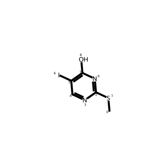 CSc1ncc(I)c(O)n1